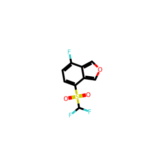 O=S(=O)(c1ccc(F)c2cocc12)C(F)F